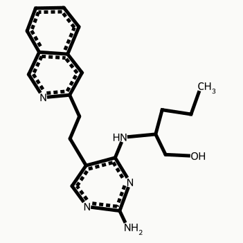 CCCC(CO)Nc1nc(N)ncc1CCc1cc2ccccc2cn1